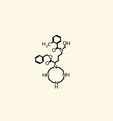 Cc1ccccc1C(=O)N(CO)CCCC(C(=O)OCc1ccccc1)N1CCNCCNCCNCC1